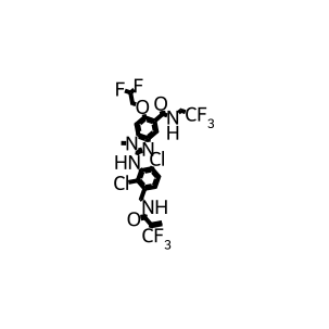 C=C(C(=O)NCc1ccc(Cl)c(Nc2nc3cc(C(=O)NCC(F)(F)F)c(OCC(F)F)cc3n2C)c1Cl)C(F)(F)F